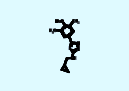 COc1c(C)cc(-c2nnc(NCC3CC3)s2)cc1C